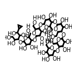 OCC(O)C(OC1OC(CO)C(OC2OC(CO)C(OC3OC(CO)C(OC4OC(CO)C(OC5OC(CO)C(OC6OC(CO)C(O)C(O)C6O)C(O)C5O)C(O)C4O)C(O)C3O)C(O)C2O)C(O)C1O)C(O)C(O)C1CC1